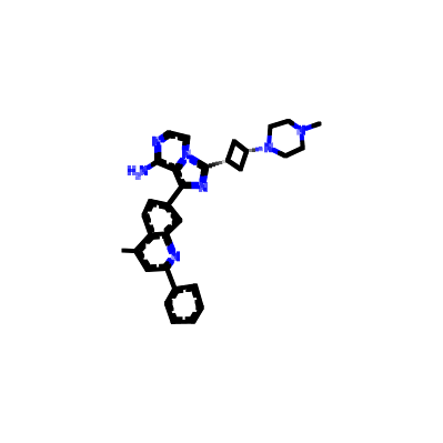 Cc1cc(-c2ccccc2)nc2cc(-c3nc([C@H]4C[C@@H](N5CCN(C)CC5)C4)n4ccnc(N)c34)ccc12